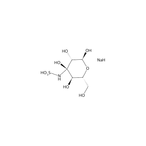 O=S(=O)(O)N[C@]1(O)[C@H](O)[C@@H](O)O[C@H](CO)[C@H]1O.[NaH]